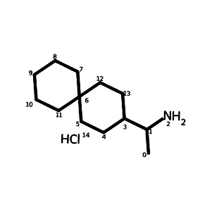 CC(N)C1CCC2(CCCCC2)CC1.Cl